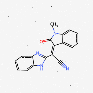 CN1C(=O)/C(=C(/C#N)c2nc3ccccc3[nH]2)c2ccccc21